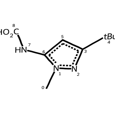 Cn1nc(C(C)(C)C)cc1NC(=O)O